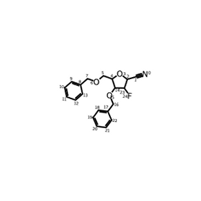 N#CC1OC(COCc2ccccc2)C(OCc2ccccc2)C1F